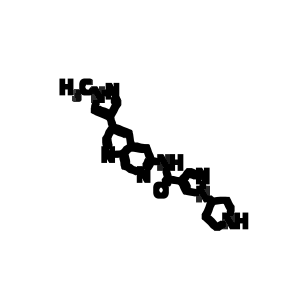 Cn1cc(-c2cnc3cnc(NC(=O)c4cnn(C5CCNCC5)c4)cc3c2)cn1